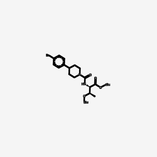 C[C@@H](OC(C)(C)C)[C@H](NC(=O)N1CCC(c2ccc(Br)cc2)CC1)C(=O)OC(C)(C)C